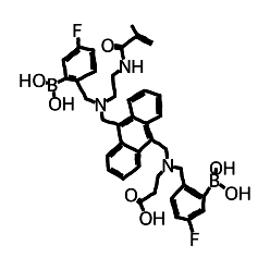 C=C(C)C(=O)NCCN(Cc1ccc(F)cc1B(O)O)Cc1c2ccccc2c(CN(CCC(=O)O)Cc2ccc(F)cc2B(O)O)c2ccccc12